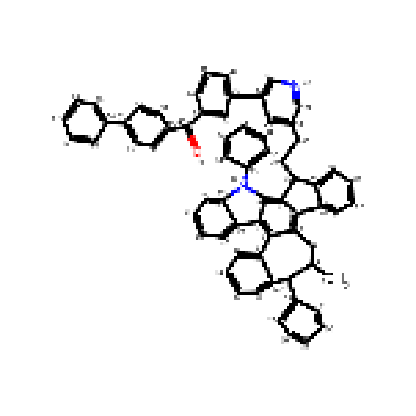 CC1Cc2c3c(c4c(c2-c2ccccc2C1c1ccccc1)c1ccccc1n4-c1ccccc1)C(CCc1cncc(-c2cccc(C(=O)c4ccc(-c5ccccc5)cc4)c2)c1)c1ccccc1-3